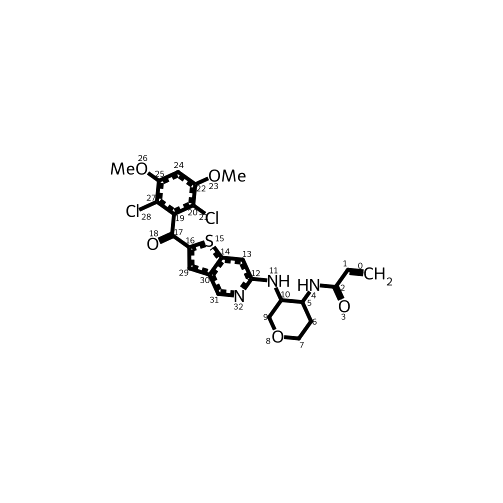 C=CC(=O)NC1CCOCC1Nc1cc2sc(C(=O)c3c(Cl)c(OC)cc(OC)c3Cl)cc2cn1